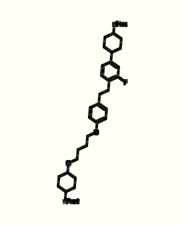 CCCCCCC1CCC(c2ccc(CCc3ccc(OCCCCOC4CCC(CCCCC)CC4)cc3)c(F)c2)CC1